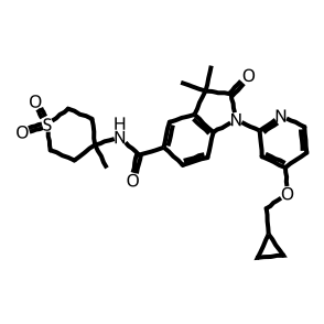 CC1(NC(=O)c2ccc3c(c2)C(C)(C)C(=O)N3c2cc(OCC3CC3)ccn2)CCS(=O)(=O)CC1